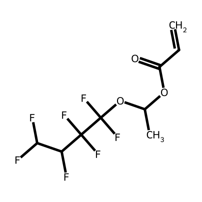 C=CC(=O)OC(C)OC(F)(F)C(F)(F)C(F)C(F)F